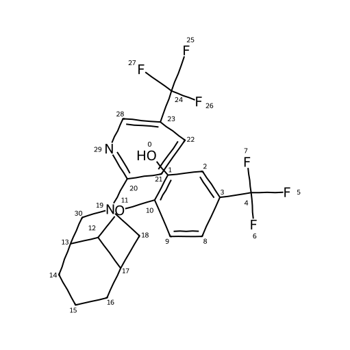 Oc1cc(C(F)(F)F)ccc1OC1C2CCCC1CN(c1ccc(C(F)(F)F)cn1)C2